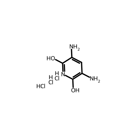 Cl.Cl.Cl.Nc1cc(N)c(O)nc1O